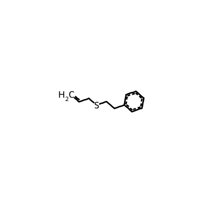 C=CCSCCc1ccccc1